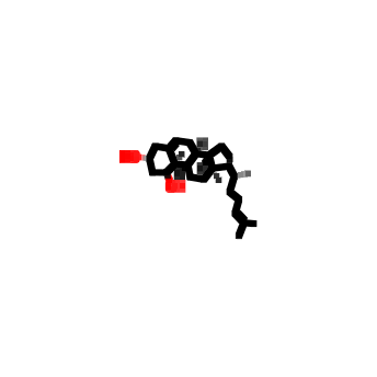 CC(C)=CCC[C@@H](C)[C@H]1CC[C@H]2[C@@H]3CC=C4C[C@@H](O)C[C@H](O)[C@]4(C)[C@H]3CC[C@]12C